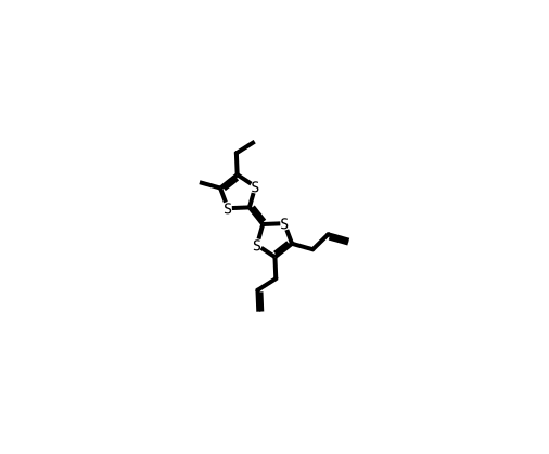 C=CCC1=C(CC=C)SC(=C2SC(C)=C(CC)S2)S1